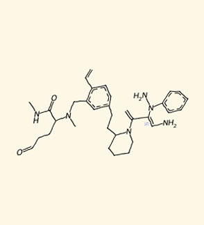 C=Cc1ccc(CCC2CCCCN2C(=C)/C(=C/N)N(N)c2ccccc2)cc1CN(C)C(CCC=O)C(=O)NC